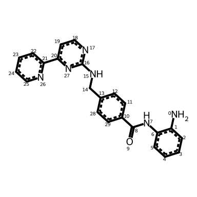 Nc1ccccc1NC(=O)c1ccc(CNc2nccc(-c3ccccn3)n2)cc1